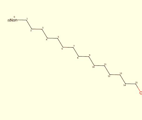 [CH2]CCCCCCCCCCCCCCCCCCCCCCCO